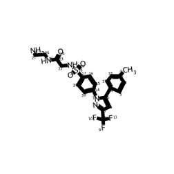 Cc1ccc(-c2cc(C(F)(F)F)nn2-c2ccc(S(=O)(=O)NCC(=O)NCCN)cc2)cc1